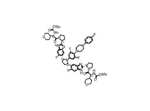 COC(=O)N[C@H](C(=O)N1CCC[C@H]1c1nc2cc([C@H]3CC[C@H](c4cc5nc([C@@H]6CCCN6C(=O)[C@@H](NC(=O)OC)C6CCOCC6)[nH]c5cc4F)N3c3cc(F)c(N4CCN(c5ccc(F)cc5)CC4)c(F)c3)c(F)cc2[nH]1)C1CCOCC1